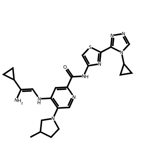 CC1CCN(c2cnc(C(=O)Nc3csc(-c4nncn4C4CC4)n3)cc2N/C=C(\N)C2CC2)C1